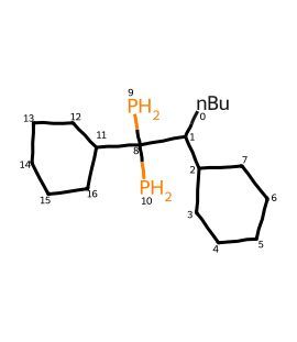 CCCCC(C1CCCCC1)C(P)(P)C1CCCCC1